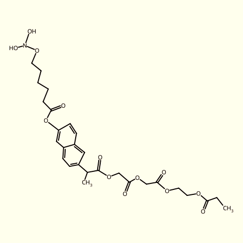 CCC(=O)OCCOC(=O)COC(=O)COC(=O)C(C)c1ccc2cc(OC(=O)CCCCCON(O)O)ccc2c1